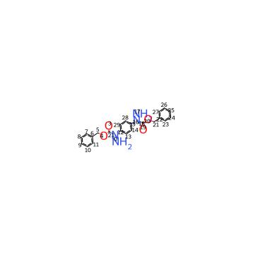 NN(C(=O)OCc1ccccc1)c1ccc(N(N)C(=O)OCc2ccccc2)cc1